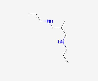 CCCNCC(C)CNCCC